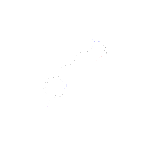 Ic1ccc(CCCc2ncco2)nc1